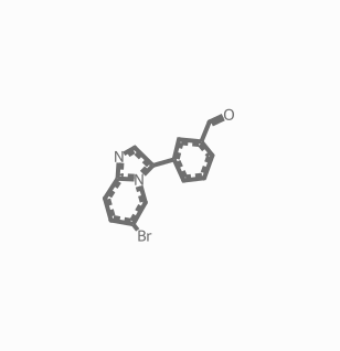 O=Cc1cccc(-c2cnc3ccc(Br)cn23)c1